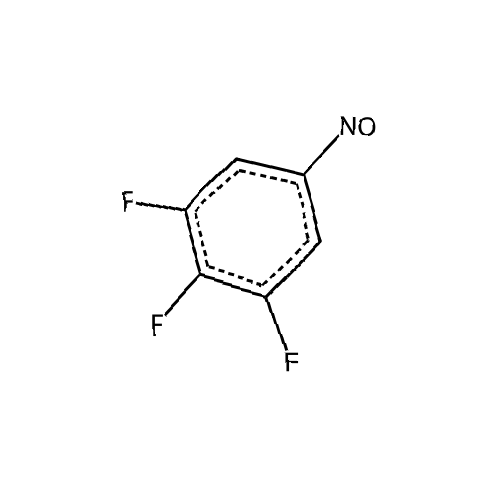 O=Nc1cc(F)c(F)c(F)c1